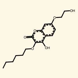 CCCCCCOc1c(O)c2ccc(OCCO)cc2oc1=O